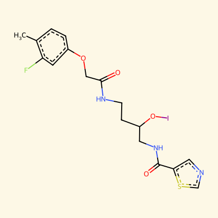 Cc1ccc(OCC(=O)NCCC(CNC(=O)c2cncs2)OI)cc1F